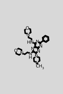 CN1CCN(c2nc3nc(-c4ccccc4)nc(NCCN4CCOCC4)c3nc2NCCN2CCOCC2)CC1